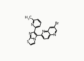 Cc1cccc(-c2nc3sccn3c2-c2ccc3ncc(Br)cc3n2)n1